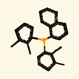 Cc1cccc(P(c2cccc(C)c2C)c2cccc3ccccc23)c1C